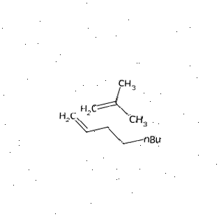 C=C(C)C.C=CCCCCCC